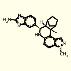 Cn1ncc2c3c(ccc21)N[C@@H](c1ccc2nc(N)sc2c1)[C@@H]1C2CCC(C2)[C@H]31